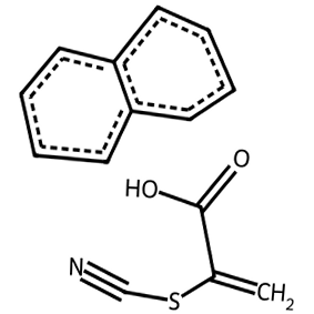 C=C(SC#N)C(=O)O.c1ccc2ccccc2c1